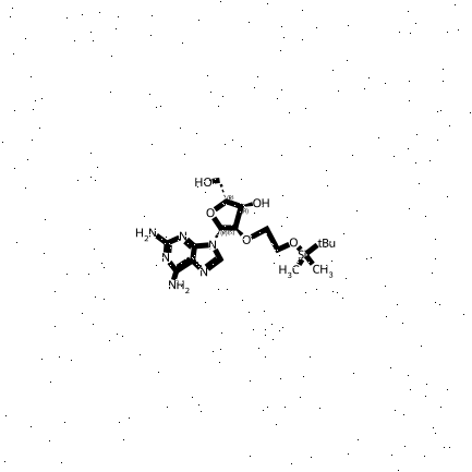 CC(C)(C)[Si](C)(C)OCCO[C@@H]1[C@H](O)[C@@H](CO)O[C@H]1n1cnc2c(N)nc(N)nc21